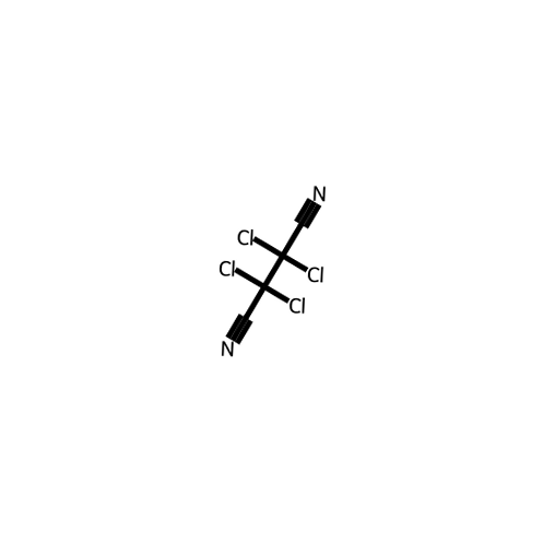 N#CC(Cl)(Cl)C(Cl)(Cl)C#N